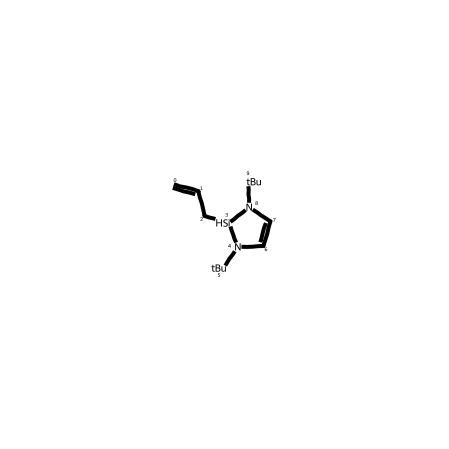 C=CC[SiH]1N(C(C)(C)C)C=CN1C(C)(C)C